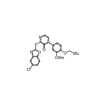 COc1cc(-n2ccnc(Sc3nc4cc(Cl)ccc4o3)c2=O)ccc1OCC(C)(C)C